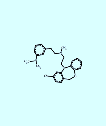 CN(CCc1cccc(N(C)C)c1)CCN1c2cc(Cl)ccc2COc2ccccc21